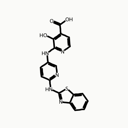 O=C(O)c1ccnc(Nc2ccc(Nc3nc4ccccc4s3)nc2)c1O